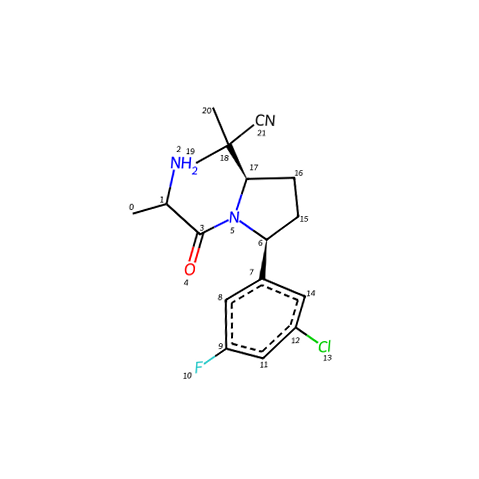 CC(N)C(=O)N1[C@H](c2cc(F)cc(Cl)c2)CC[C@@H]1C(C)(C)C#N